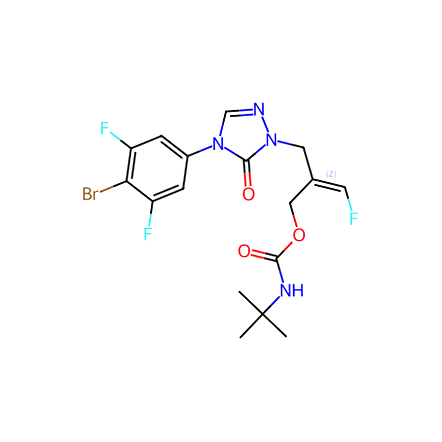 CC(C)(C)NC(=O)OC/C(=C\F)Cn1ncn(-c2cc(F)c(Br)c(F)c2)c1=O